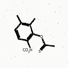 CC(=S)Oc1c(C(=O)O)ccc(C)c1C